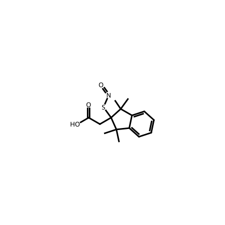 CC1(C)c2ccccc2C(C)(C)C1(CC(=O)O)SN=O